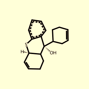 O[C@@]1(C2CC=CCC2)c2ccccc2S[C@@H]2C=CCCC21